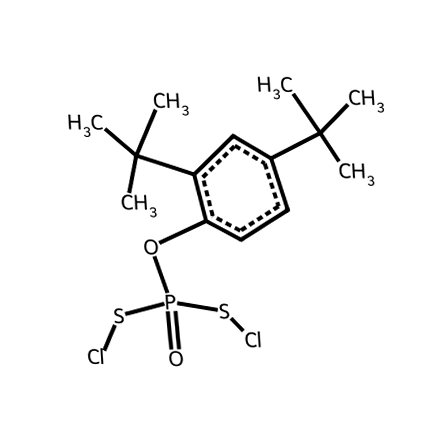 CC(C)(C)c1ccc(OP(=O)(SCl)SCl)c(C(C)(C)C)c1